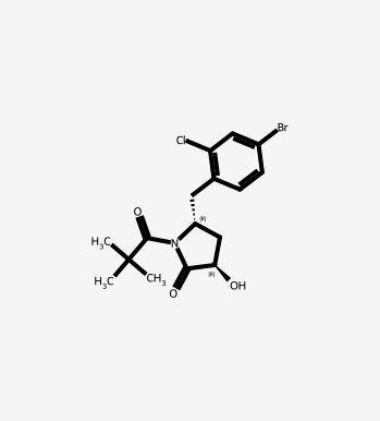 CC(C)(C)C(=O)N1C(=O)[C@H](O)C[C@H]1Cc1ccc(Br)cc1Cl